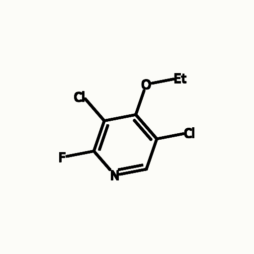 CCOc1c(Cl)cnc(F)c1Cl